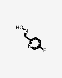 ON=Cc1ccc(F)cn1